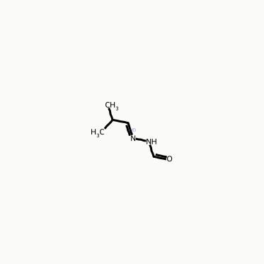 CC(C)/C=N/NC=O